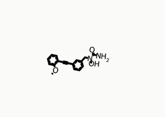 COc1ccccc1C#Cc1cccc(CN(O)C(N)=O)c1